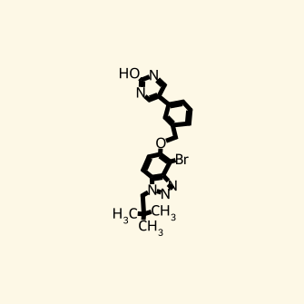 CC(C)(C)Cn1nnc2c(Br)c(OCc3cccc(-c4cnc(O)nc4)c3)ccc21